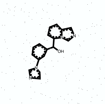 OC(c1cccc(-n2ccnc2)c1)c1cccc2cncn12